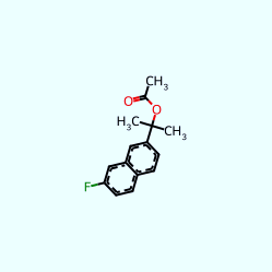 CC(=O)OC(C)(C)c1ccc2ccc(F)cc2c1